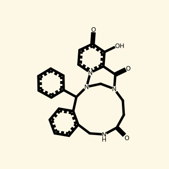 O=C1CCN2CN(C(c3ccccc3)c3ccccc3CN1)n1ccc(=O)c(O)c1C2=O